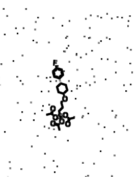 CC(=O)O[Si](CCCO[C@H]1CC[C@H](c2ccc(F)cc2)CC1)(OC(C)=O)OC(C)=O